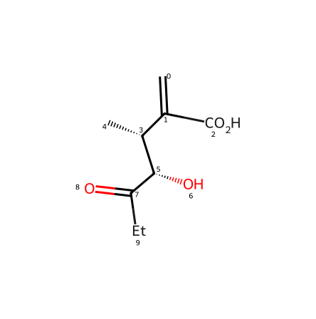 C=C(C(=O)O)[C@@H](C)[C@H](O)C(=O)CC